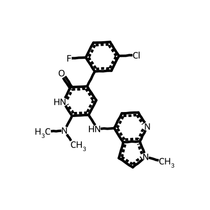 CN(C)c1[nH]c(=O)c(-c2cc(Cl)ccc2F)cc1Nc1ccnc2c1ccn2C